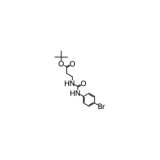 CC(C)(C)OC(=O)CCNC(=O)Nc1ccc(Br)cc1